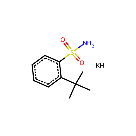 CC(C)(C)c1ccccc1S(N)(=O)=O.[KH]